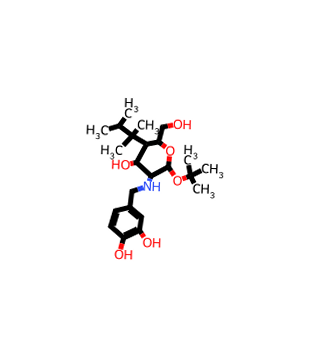 CC(C)C(C)(C)C1C(CO)OC(OC(C)(C)C)C(NCc2ccc(O)c(O)c2)C1O